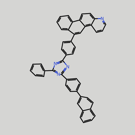 c1ccc(-c2nc(-c3ccc(-c4ccc5ccccc5c4)cc3)nc(-c3ccc(-c4cc5c6cccnc6ccc5c5ccccc45)cc3)n2)cc1